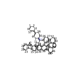 C1=CCCC(C2=CC/C(=C(\CCC3=CC=CC4C3SC3C=CC=CC34)C3=CC=CC4C3C3c5ccccc5C=CC3C43C4C=CCCC4OC4C=CCCC43)CC2)=C1